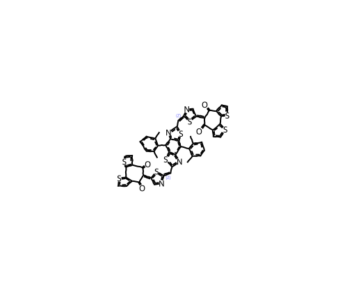 Cc1cccc(C)c1-c1c2nc(/C=c3/ncc(=C4C(=O)c5ccsc5-c5sccc5C4=O)s3)sc2c(-c2c(C)cccc2C)c2nc(/C=c3/ncc(=C4C(=O)c5ccsc5-c5sccc5C4=O)s3)sc12